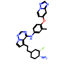 Cc1cc(Nc2ncnn3ccc(CCC4CC[C@@H](N)[C@@H](F)C4)c23)ccc1Oc1ccn2ncnc2c1